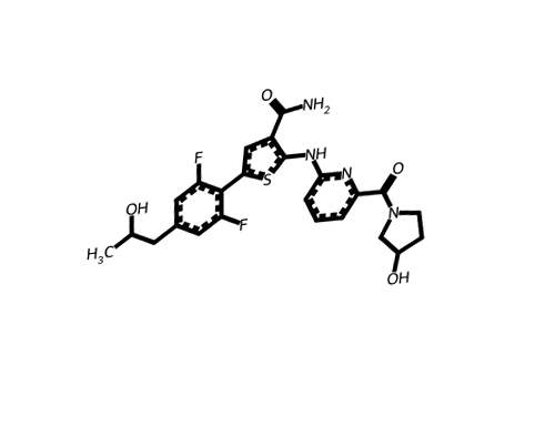 CC(O)Cc1cc(F)c(-c2cc(C(N)=O)c(Nc3cccc(C(=O)N4CCC(O)C4)n3)s2)c(F)c1